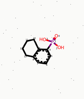 O=P(O)(O)c1cccc2c1CCCC2